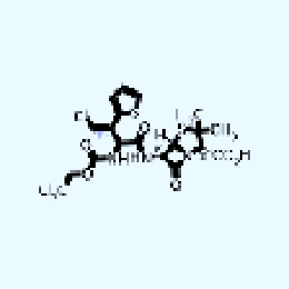 CC1(C)S[C@@H]2[C@@H](NC(=O)C(NC(=O)OCC(Cl)(Cl)Cl)/C(=C/Cl)c3cccs3)C(=O)N2[C@H]1C(=O)O